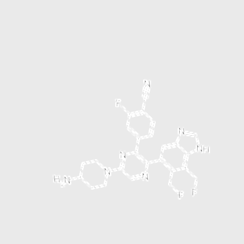 N#Cc1ccc(-c2nc(N3CCC(N)CC3)cnc2-c2cc3nc[nH]c3c(CF)c2CF)cc1F